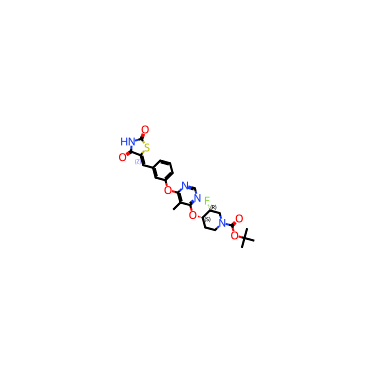 Cc1c(Oc2cccc(/C=C3\SC(=O)NC3=O)c2)ncnc1O[C@H]1CCN(C(=O)OC(C)(C)C)C[C@H]1F